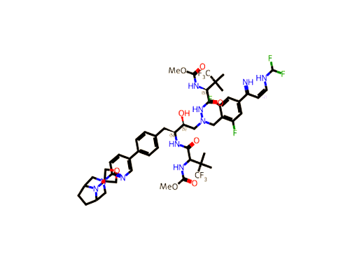 COC(=O)NC(C(=O)N[C@@H](Cc1ccc(-c2ccc(N3CC4CCC(C3)N4C3COC3)nc2)cc1)[C@@H](O)CN(Cc1c(F)cc(C(=N)/C=C\NC(F)F)cc1F)NC(=O)[C@@H](NC(=O)OC)C(C)(C)C(F)(F)F)C(C)(C)C(F)(F)F